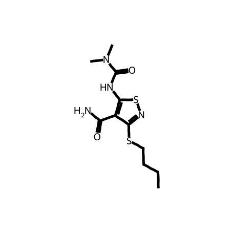 CCCCSc1nsc(NC(=O)N(C)C)c1C(N)=O